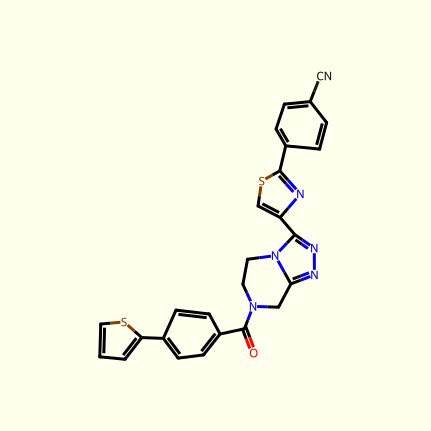 N#Cc1ccc(-c2nc(-c3nnc4n3CCN(C(=O)c3ccc(-c5cccs5)cc3)C4)cs2)cc1